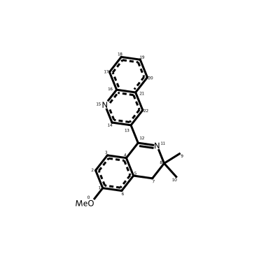 COc1ccc2c(c1)CC(C)(C)N=C2c1cnc2ccccc2c1